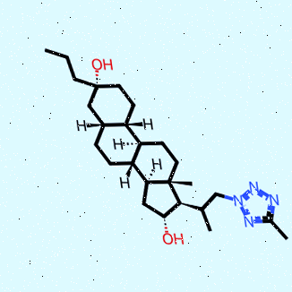 CCC[C@@]1(O)CC[C@H]2[C@H](CC[C@@H]3[C@@H]2CC[C@@]2(C)[C@H]3C[C@@H](O)[C@@H]2C(C)Cn2nnc(C)n2)C1